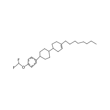 CCCCCCCCC1=CCC(C2CCC(c3ccc(OC(F)F)cc3)CC2)CC1